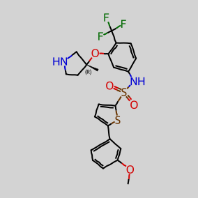 COc1cccc(-c2ccc(S(=O)(=O)Nc3ccc(C(F)(F)F)c(O[C@]4(C)CCNC4)c3)s2)c1